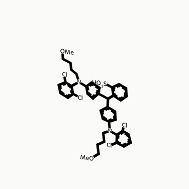 COCCCCN(c1ccc(C(c2ccc(N(CCCCOC)c3c(Cl)cccc3Cl)cc2)c2ccccc2S(=O)(=O)O)cc1)c1c(Cl)cccc1Cl